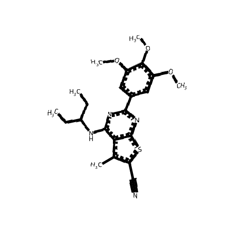 CCC(CC)Nc1nc(-c2cc(OC)c(OC)c(OC)c2)nc2sc(C#N)c(C)c12